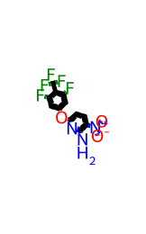 Nc1nc(Oc2cc(F)c(C(F)(F)F)c(F)c2)ccc1[N+](=O)[O-]